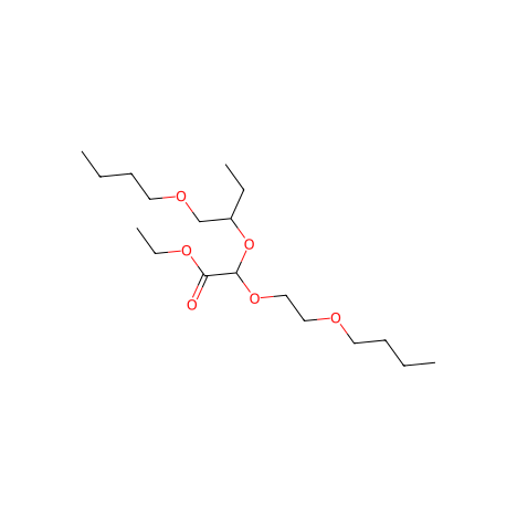 CCCCOCCOC(OC(CC)COCCCC)C(=O)OCC